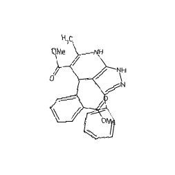 COC(=O)C1=C(C)Nc2[nH]nc(-c3ccccc3)c2C1c1ccccc1C(=O)OC